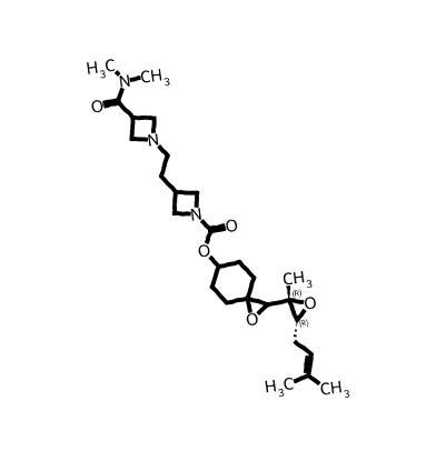 CC(C)=CC[C@H]1O[C@@]1(C)C1OC12CCC(OC(=O)N1CC(CCN3CC(C(=O)N(C)C)C3)C1)CC2